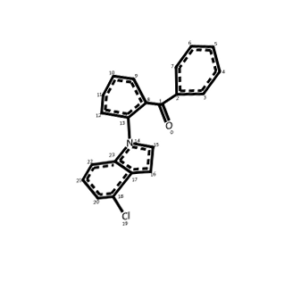 O=C(c1ccccc1)c1ccccc1-n1ccc2c(Cl)cccc21